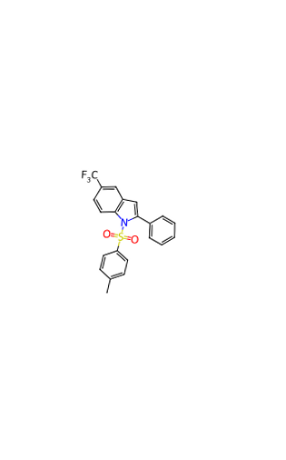 Cc1ccc(S(=O)(=O)n2c(-c3ccccc3)cc3cc(C(F)(F)F)ccc32)cc1